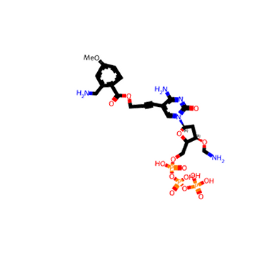 COc1ccc(C(=O)OCC#Cc2cn([C@H]3C[C@@H](OCN)C(COP(=O)(O)OP(=O)(O)OP(=O)(O)O)O3)c(=O)nc2N)c(CN)c1